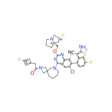 N#Cc1c(N)sc2c(F)ccc(-c3c(Cl)cc4c(N5CCCCC6(CN(C(=O)CC78CC(F)(C7)C8)C6)C5)nc(OC[C@@]56CCCN5C[C@H](F)C6)nc4c3F)c12